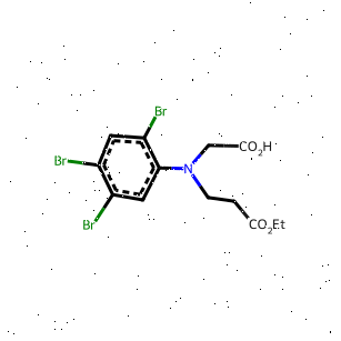 CCOC(=O)CCN(CC(=O)O)c1cc(Br)c(Br)cc1Br